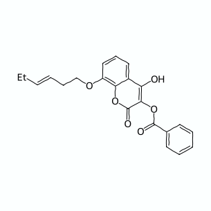 CC/C=C/CCOc1cccc2c(O)c(OC(=O)c3ccccc3)c(=O)oc12